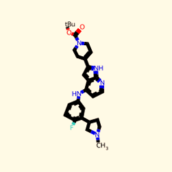 CN1CCC(c2cc(Nc3ccnc4[nH]c(C5=CCN(C(=O)OC(C)(C)C)CC5)cc34)ccc2F)C1